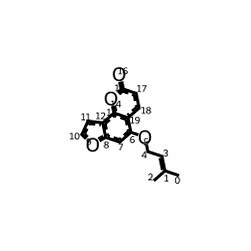 CC(C)=CCOc1cc2occc2c2oc(=O)ccc12